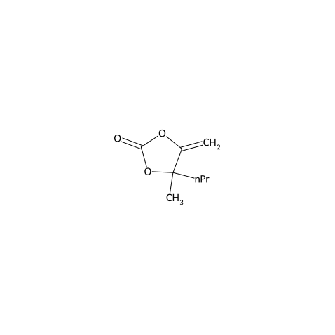 C=C1OC(=O)OC1(C)CCC